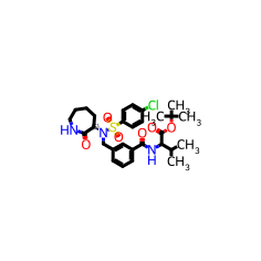 CC(C)C(NC(=O)c1cccc(CN([C@H]2CCCCNC2=O)S(=O)(=O)c2ccc(Cl)cc2)c1)C(=O)OC(C)(C)C